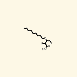 CCCCCCCCCOC(CF)C(F)C(O)F